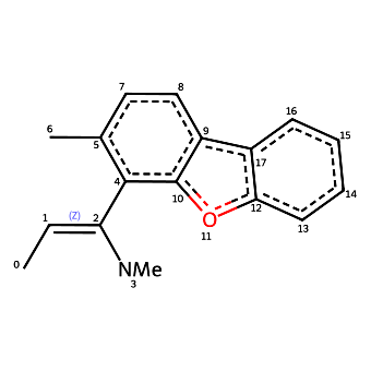 C/C=C(\NC)c1c(C)ccc2c1oc1ccccc12